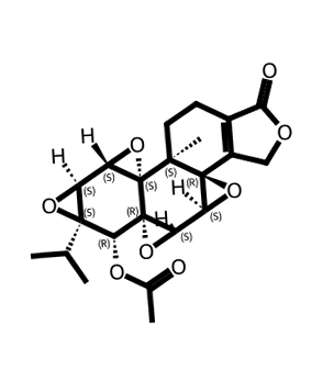 CC(=O)O[C@@H]1[C@@]2(C(C)C)O[C@H]2[C@@H]2O[C@]23[C@]12O[C@H]2[C@@H]1O[C@@]12C1=C(CC[C@]32C)C(=O)OC1